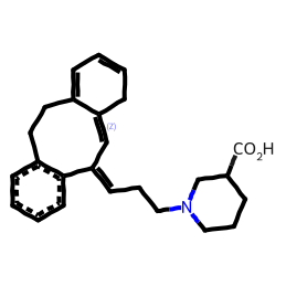 O=C(O)C1CCCN(CCC=C2/C=C3/CC=CC=C3CCc3ccccc32)C1